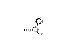 CCOC(=O)CN(/N=C(\C)C(C)C)c1ccc(C(F)(F)F)nc1